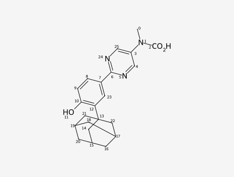 CN(C(=O)O)c1cnc(-c2ccc(O)c(C34CC5CC(CC(C5)C3)C4)c2)nc1